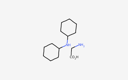 C1CCC(NC2CCCCC2)CC1.NCC(=O)O